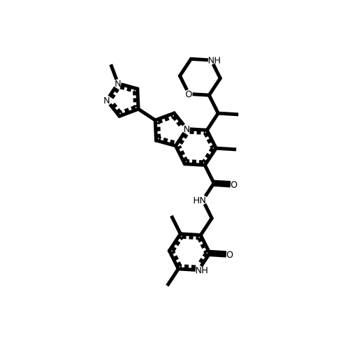 Cc1cc(C)c(CNC(=O)c2cc3cc(-c4cnn(C)c4)cn3c(C(C)C3CNCCO3)c2C)c(=O)[nH]1